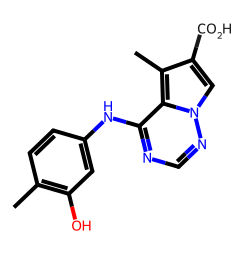 Cc1ccc(Nc2ncnn3cc(C(=O)O)c(C)c23)cc1O